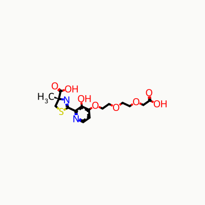 C[C@]1(C(=O)O)CSC(c2nccc(OCCOCCOCC(=O)O)c2O)=N1